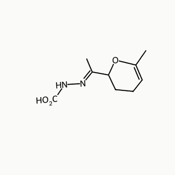 CC1=CCCC(C(C)=NNC(=O)O)O1